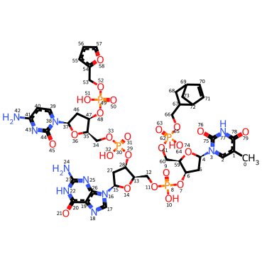 Cc1cn([C@H]2C[C@@H](OP(=O)(O)OC[C@H]3O[C@@H](n4cnc5c(=O)[nH]c(N)nc54)C[C@H]3OP(=O)(O)OC[C@H]3O[C@@H](n4ccc(N)nc4=O)C[C@H]3OP(=O)(O)OCc3ccco3)[C@@H](COP(=O)(O)OCC3CC4C=CC3C4)O2)c(=O)[nH]c1=O